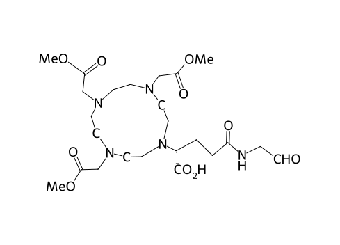 COC(=O)CN1CCN(CC(=O)OC)CCN([C@H](CCC(=O)NCC=O)C(=O)O)CCN(CC(=O)OC)CC1